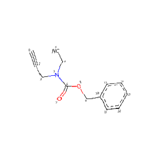 C#CCN(CC#N)C(=O)OCc1ccccc1